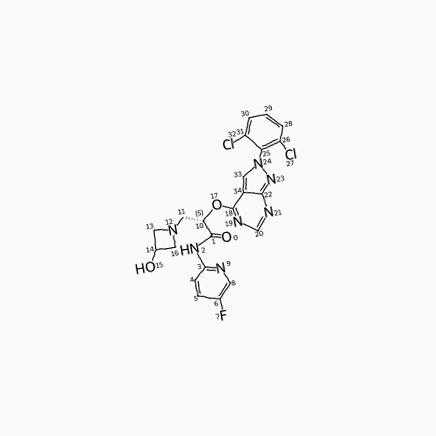 O=C(Nc1ccc(F)cn1)[C@H](CN1CC(O)C1)Oc1ncnc2nn(-c3c(Cl)cccc3Cl)cc12